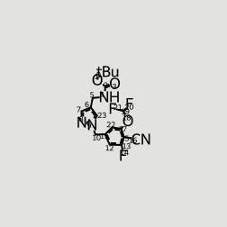 CC(C)(C)OC(=O)NCc1cnn(Cc2cc(F)c(C#N)c(OC(F)F)c2)c1